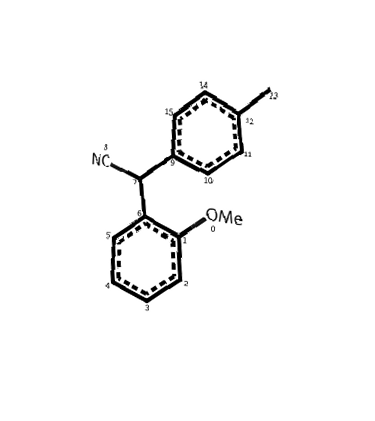 COc1ccccc1C(C#N)c1ccc(C)cc1